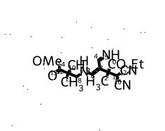 CCOC(=O)C(C)(/C(C=N)=C/NCC(C)(C)C(=O)OC)C(C#N)C#N